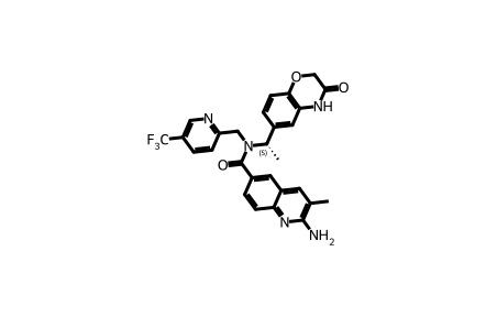 Cc1cc2cc(C(=O)N(Cc3ccc(C(F)(F)F)cn3)[C@@H](C)c3ccc4c(c3)NC(=O)CO4)ccc2nc1N